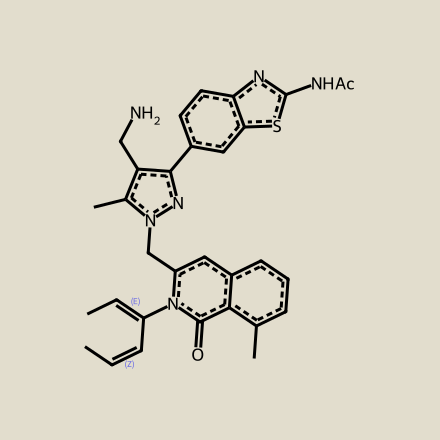 C/C=C\C(=C/C)n1c(Cn2nc(-c3ccc4nc(NC(C)=O)sc4c3)c(CN)c2C)cc2cccc(C)c2c1=O